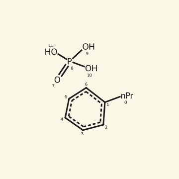 CCCc1ccccc1.O=P(O)(O)O